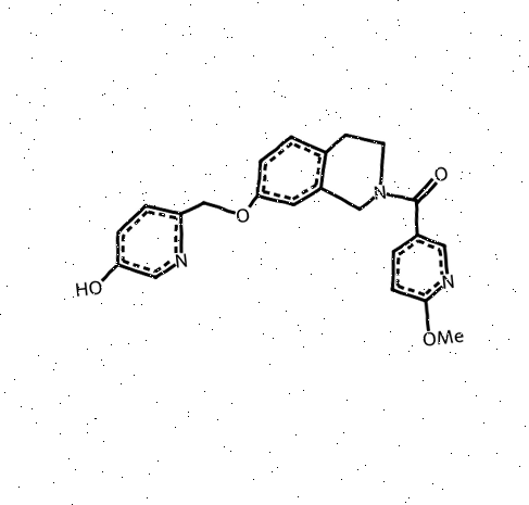 COc1ccc(C(=O)N2CCc3ccc(OCc4ccc(O)cn4)cc3C2)cn1